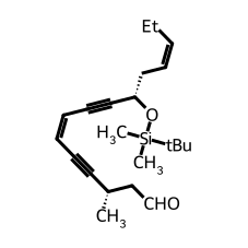 CC/C=C\C[C@@H](C#C/C=C\C#C[C@@H](C)CC=O)O[Si](C)(C)C(C)(C)C